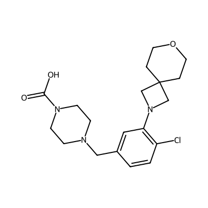 O=C(O)N1CCN(Cc2ccc(Cl)c(N3CC4(CCOCC4)C3)c2)CC1